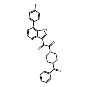 Cc1ccc(-c2ccnc3c(C(=O)C(=O)N4CCN(C(=O)c5ccccc5)CC4)c[nH]c23)cc1